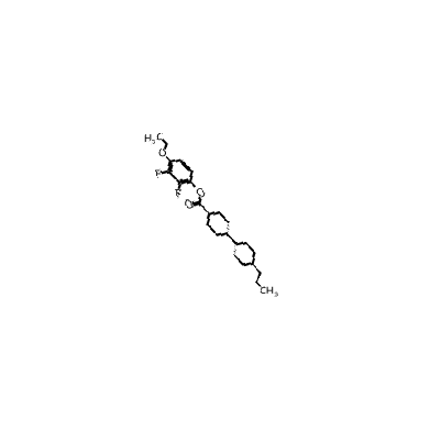 CCC[C@H]1CC[C@H]([C@H]2CC[C@H](C(=O)Oc3ccc(OCC)c(F)c3F)CC2)CC1